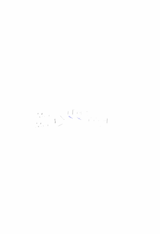 CCCCC/C(=C\C=C\CC(=O)O)c1ccc(OC)c(OC)c1